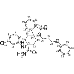 NC(=O)C1(Nc2cccc(Cl)c2)CCC2(CC1)c1ccccc1C(=O)N2CCCOc1ccccc1